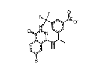 C[C@@H](Nc1n[nH]c(=O)c2ccc(Br)cc12)c1cc([N+](=O)[O-])cc(C(F)(F)F)c1